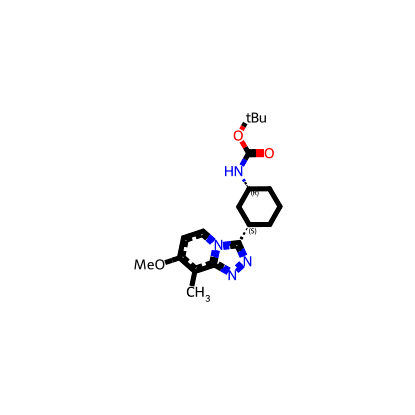 COc1ccn2c([C@H]3CCC[C@@H](NC(=O)OC(C)(C)C)C3)nnc2c1C